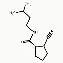 CC(C)CCNC(=O)[C@@H]1CCCN1C#N